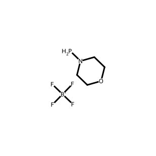 F[B-](F)(F)F.PN1CCOCC1